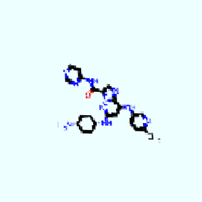 Cc1ccc(Nc2cc(N[C@H]3CC[C@H](N)CC3)nn3c(C(=O)Nc4ccncn4)cnc23)cn1